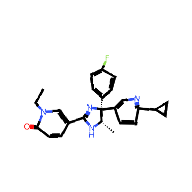 CCn1cc(C2=N[C@@](c3ccc(F)cc3)(c3ccc(C4CC4)nc3)[C@H](C)N2)ccc1=O